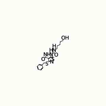 NC(=O)c1c(SCc2ccccc2)nsc1NC(=O)NCCCCCO